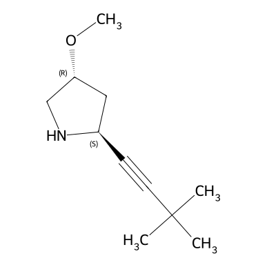 CO[C@H]1CN[C@H](C#CC(C)(C)C)C1